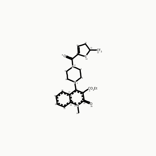 CCOC(=O)c1c(N2CCN(C(=O)C3=CCC(C(F)(F)F)S3)CC2)c2ccccc2n(C)c1=O